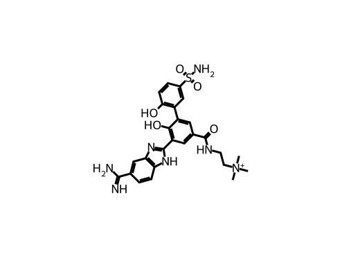 C[N+](C)(C)CCNC(=O)c1cc(-c2nc3cc(C(=N)N)ccc3[nH]2)c(O)c(-c2cc(S(N)(=O)=O)ccc2O)c1